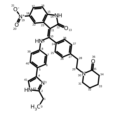 CCc1nc(-c2ccc(NC(=C3C(=O)Nc4ccc([N+](=O)[O-])cc43)c3ccc(CCN4CCCCC4=O)cc3)cc2)c[nH]1